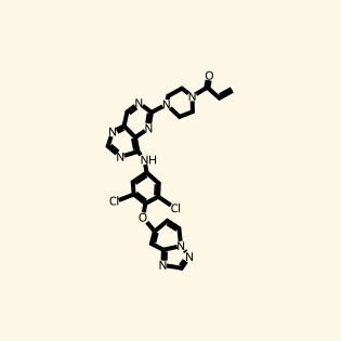 C=CC(=O)N1CCN(c2ncc3ncnc(Nc4cc(Cl)c(Oc5ccn6ncnc6c5)c(Cl)c4)c3n2)CC1